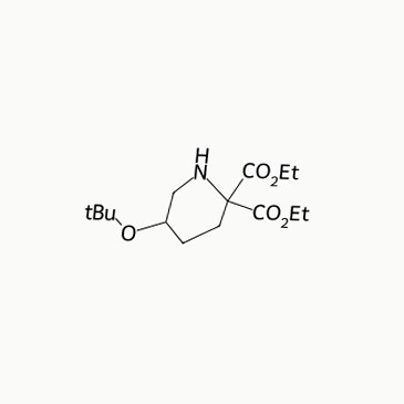 CCOC(=O)C1(C(=O)OCC)CCC(OC(C)(C)C)CN1